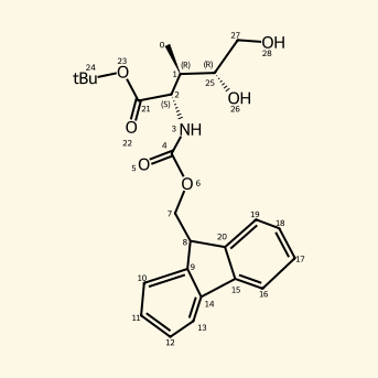 C[C@H]([C@H](NC(=O)OCC1c2ccccc2-c2ccccc21)C(=O)OC(C)(C)C)[C@@H](O)CO